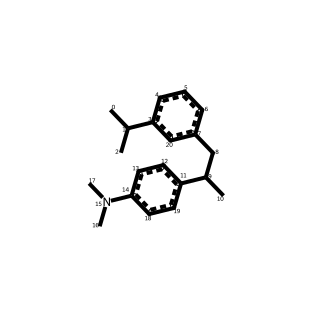 CC(C)c1cccc(CC(C)c2ccc(N(C)C)cc2)c1